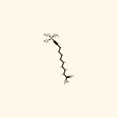 C[Si](C)(C)C#CCCCCCCCCC(=O)O